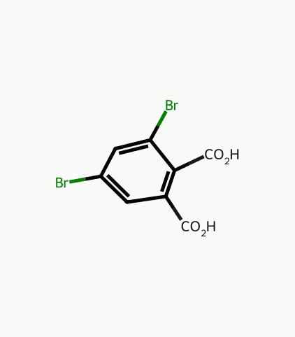 O=C(O)c1cc(Br)cc(Br)c1C(=O)O